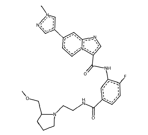 COCC1CCCN1CCNC(=O)c1ccc(F)c(NC(=O)c2cnc3cc(-c4cnn(C)c4)ccn23)c1